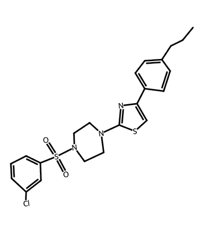 CCCc1ccc(-c2csc(N3CCN(S(=O)(=O)c4cccc(Cl)c4)CC3)n2)cc1